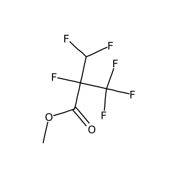 COC(=O)C(F)(C(F)F)C(F)(F)F